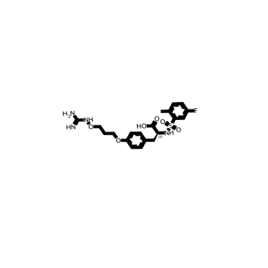 Cc1ccc(F)cc1S(=O)(=O)N[C@@H](Cc1ccc(OCCCONC(=N)N)cc1)C(=O)O